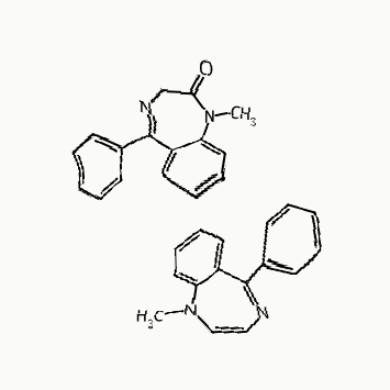 CN1C(=O)CN=C(c2ccccc2)c2ccccc21.CN1C=CN=C(c2ccccc2)c2ccccc21